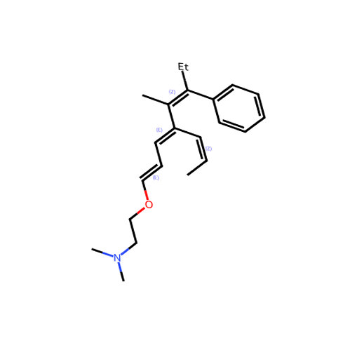 C\C=C/C(=C\C=C\OCCN(C)C)C(/C)=C(/CC)c1ccccc1